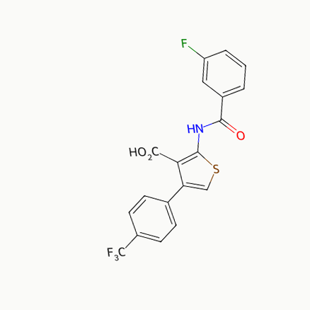 O=C(Nc1scc(-c2ccc(C(F)(F)F)cc2)c1C(=O)O)c1cccc(F)c1